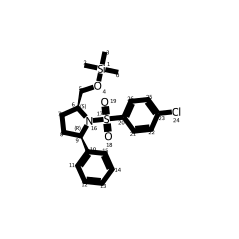 C[Si](C)(C)OC[C@@H]1CC[C@H](c2ccccc2)N1S(=O)(=O)c1ccc(Cl)cc1